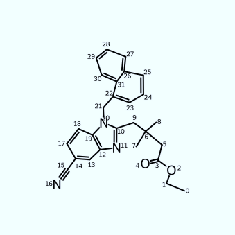 CCOC(=O)CC(C)(C)Cc1nc2cc(C#N)ccc2n1Cc1cccc2ccccc12